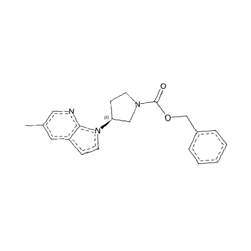 Cc1cnc2c(ccn2[C@H]2CCN(C(=O)OCc3ccccc3)C2)c1